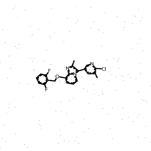 Cc1cc(-c2c(C)nc3c(OCc4c(F)cccc4F)cccn23)cnc1Cl